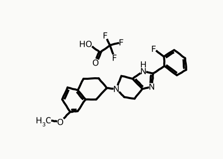 COc1ccc2c(c1)CC(N1CCc3nc(-c4ccccc4F)[nH]c3C1)CC2.O=C(O)C(F)(F)F